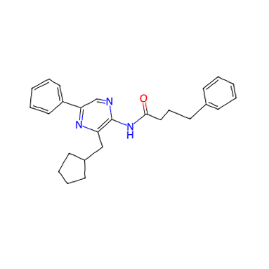 O=C(CCCc1ccccc1)Nc1ncc(-c2ccccc2)nc1CC1CCCC1